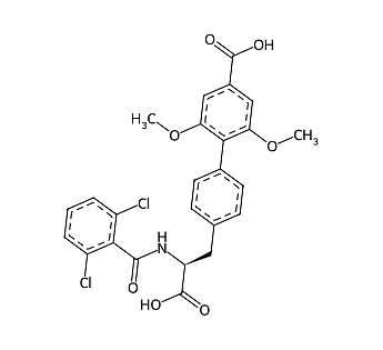 COc1cc(C(=O)O)cc(OC)c1-c1ccc(C[C@H](NC(=O)c2c(Cl)cccc2Cl)C(=O)O)cc1